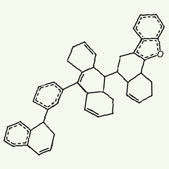 C1=CC2C(=C(c3cccc(C4CC=Cc5ccccc54)c3)C3C=CCCC3C2C2Cc3c(oc4ccccc34)C3CCC=CC32)CC1